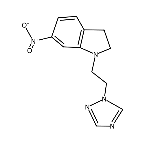 O=[N+]([O-])c1ccc2c(c1)N(CCn1cncn1)CC2